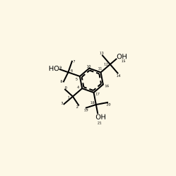 CC(C)(C)c1c(C(C)(C)O)cc(C(C)(C)O)cc1C(C)(C)O